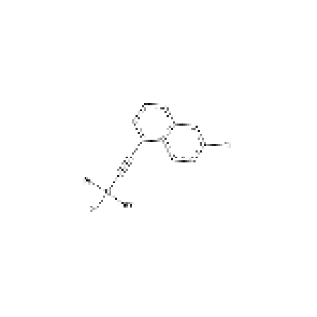 CC(C)[Si](C#Cc1cccc2cc(O)ccc12)(C(C)C)C(C)C